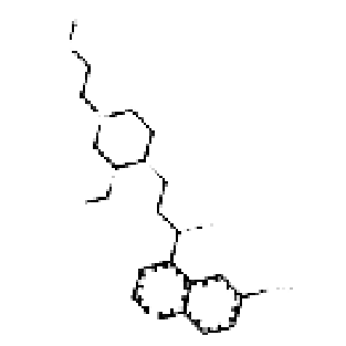 CCSCCN1CC[C@@H](CC[C@@H](O)c2ccnc3ccc(OC)cc23)[C@@H](CC(=O)O)C1